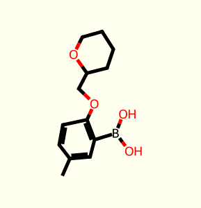 Cc1ccc(OCC2CCCCO2)c(B(O)O)c1